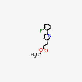 CCOC(=O)C=Cc1ccc(-c2ccccc2F)nc1